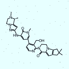 C[C@H]1c2cc(Nc3cc(-c4ccnc(N5CCn6c(cc7c6CC(C)(C)C7)C5=O)c4CO)cn(C)c3=O)nn2CCN1C